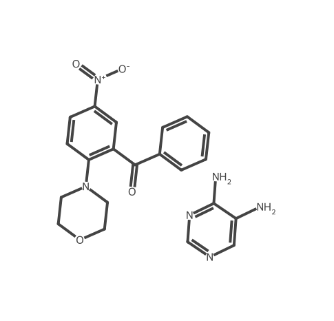 Nc1cncnc1N.O=C(c1ccccc1)c1cc([N+](=O)[O-])ccc1N1CCOCC1